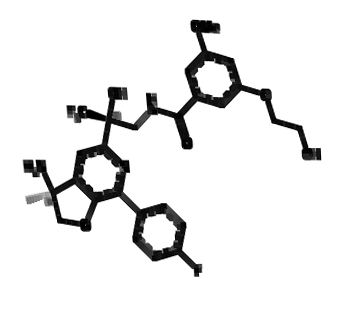 COc1cc(OCCO)cc(C(=O)NC[C@@](O)(c2cc3c(c(-c4ccc(F)cc4)n2)OC[C@@]3(C)N)C(F)(F)F)c1